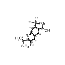 CC(C)c1nc2nc(C(F)(F)F)c(C(=O)O)cc2cc1F